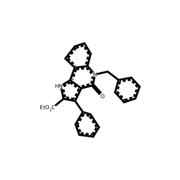 CCOC(=O)c1[nH]c2c(c1-c1ccccc1)c(=O)n(Cc1ccccc1)c1ccccc21